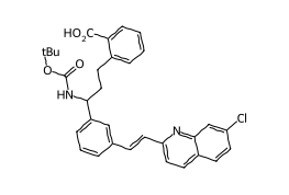 CC(C)(C)OC(=O)NC(CCc1ccccc1C(=O)O)c1cccc(/C=C/c2ccc3ccc(Cl)cc3n2)c1